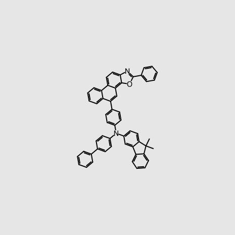 CC1(C)c2ccccc2-c2cc(N(c3ccc(-c4ccccc4)cc3)c3ccc(-c4cc5c(ccc6nc(-c7ccccc7)oc65)c5ccccc45)cc3)ccc21